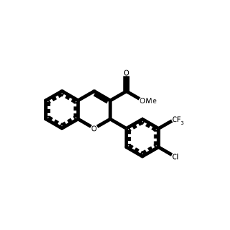 COC(=O)C1=Cc2ccccc2OC1c1ccc(Cl)c(C(F)(F)F)c1